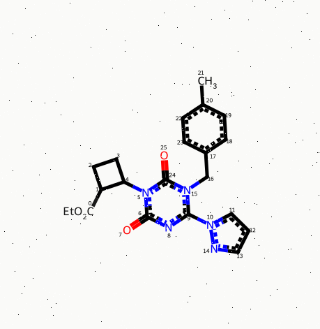 CCOC(=O)C1CCC1n1c(=O)nc(-n2cccn2)n(Cc2ccc(C)cc2)c1=O